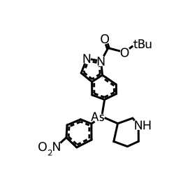 CC(C)(C)OC(=O)n1ncc2cc([As](c3ccc([N+](=O)[O-])cc3)C3CCCNC3)ccc21